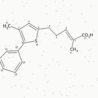 CC(=CCCc1cc(C)c(-c2ccccc2)s1)C(=O)O